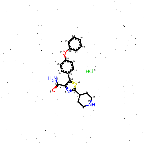 Cl.NC(=O)c1nc(C2CCNCC2)sc1-c1ccc(Oc2ccccc2)cc1